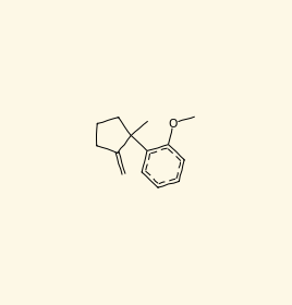 C=C1CCCC1(C)c1ccccc1OC